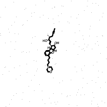 CC#CC[C@@H](C)[C@@H](O)/C=C/[C@@H]1[C@H]2c3cccc(CCCCN4CCOCC4)c3O[C@H]2C[C@H]1O